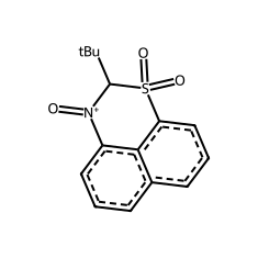 CC(C)(C)C1[N+](=O)c2cccc3cccc(c23)S1(=O)=O